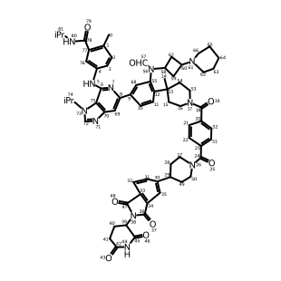 Cc1ccc(Nc2nc(-c3ccc(C4(C)CCN(C(=O)c5ccc(C(=O)N6CCC(c7ccc8c(c7)C(=O)N(C7CCC(=O)NC7=O)C8=O)CC6)cc5)CC4)c(N(C=O)C4CC(N5CCCCC5)C4)c3)cc3ncn(C(C)C)c23)cc1C(=O)NC(C)C